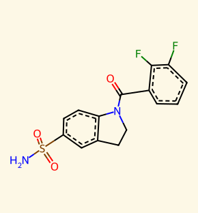 NS(=O)(=O)c1ccc2c(c1)CCN2C(=O)c1cccc(F)c1F